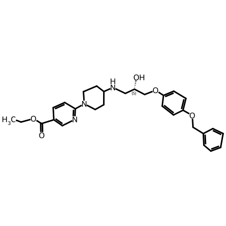 CCOC(=O)c1ccc(N2CCC(NC[C@H](O)COc3ccc(OCc4ccccc4)cc3)CC2)nc1